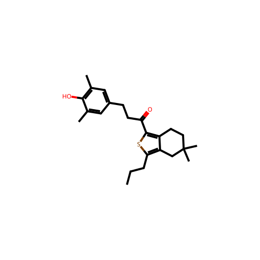 CCCc1sc(C(=O)CCc2cc(C)c(O)c(C)c2)c2c1CC(C)(C)CC2